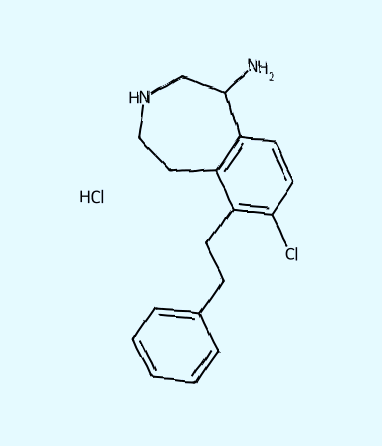 Cl.NC1CNCCc2c1ccc(Cl)c2CCc1ccccc1